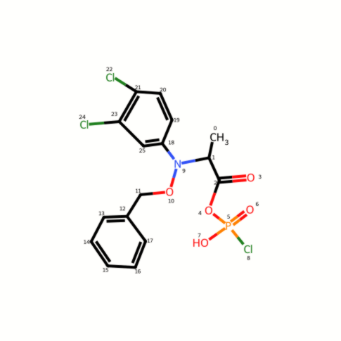 CC(C(=O)OP(=O)(O)Cl)N(OCc1ccccc1)c1ccc(Cl)c(Cl)c1